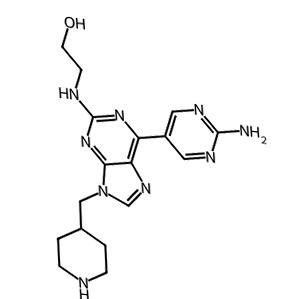 Nc1ncc(-c2nc(NCCO)nc3c2ncn3CC2CCNCC2)cn1